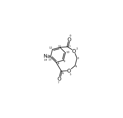 O=C1OCCOC(=O)c2ccc1cc2.[Na]